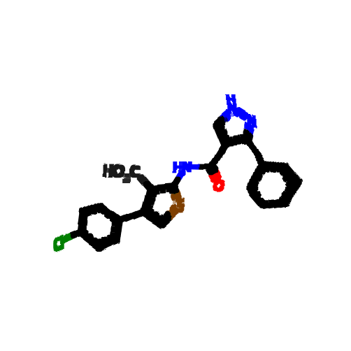 O=C(Nc1scc(-c2ccc(Cl)cc2)c1C(=O)O)c1c[nH]nc1-c1ccccc1